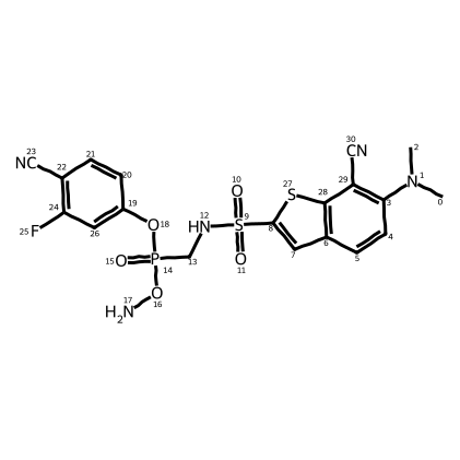 CN(C)c1ccc2cc(S(=O)(=O)NCP(=O)(ON)Oc3ccc(C#N)c(F)c3)sc2c1C#N